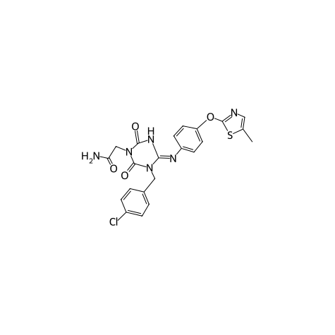 Cc1cnc(Oc2ccc(/N=c3\[nH]c(=O)n(CC(N)=O)c(=O)n3Cc3ccc(Cl)cc3)cc2)s1